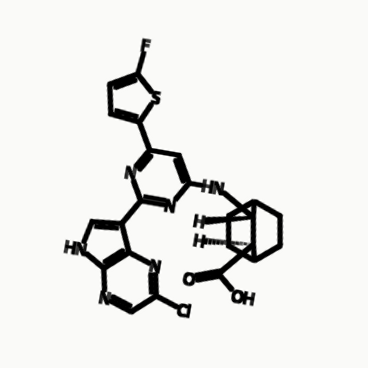 O=C(O)[C@@H]1C2CCC(CC2)[C@H]1Nc1cc(-c2ccc(F)s2)nc(-c2c[nH]c3ncc(Cl)nc23)n1